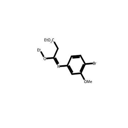 CCOC(=O)C/C(=N\c1ccc(Br)c(OC)c1)OCC